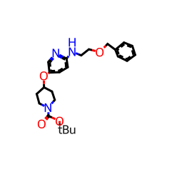 CC(C)(C)OC(=O)N1CCC(Oc2ccc(NCCOCc3ccccc3)nc2)CC1